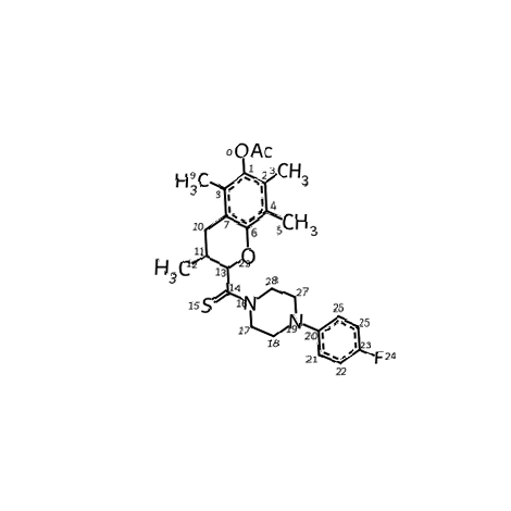 CC(=O)Oc1c(C)c(C)c2c(c1C)CC(C)C(C(=S)N1CCN(c3ccc(F)cc3)CC1)O2